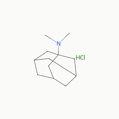 CN(C)C12CC3CC(CC(C3)C1)C2.Cl